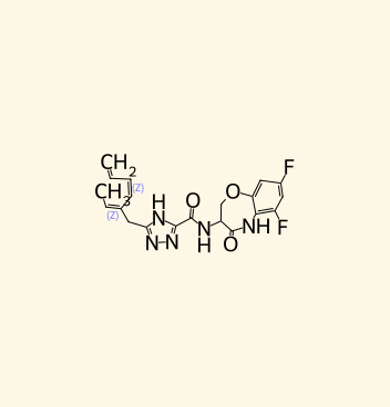 C=C/C=C\C(=C/C)Cc1nnc(C(=O)NC2COc3cc(F)cc(F)c3NC2=O)[nH]1